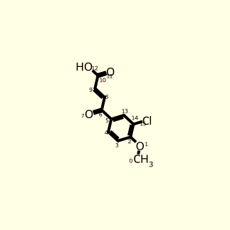 COc1ccc(C(=O)C=CC(=O)O)cc1Cl